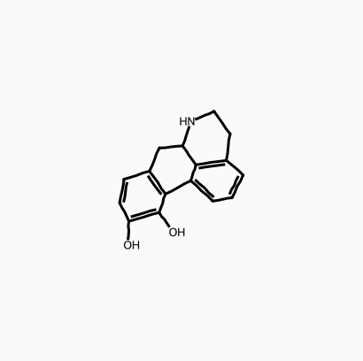 Oc1ccc2c(c1O)-c1cccc3c1C(C2)NCC3